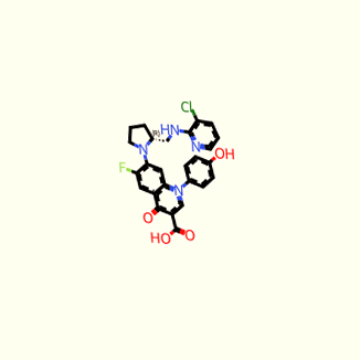 O=C(O)c1cn(-c2ccc(O)cc2)c2cc(N3CCC[C@@H]3CNc3ncccc3Cl)c(F)cc2c1=O